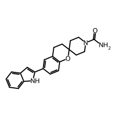 NC(=O)N1CCC2(CCc3cc(-c4cc5ccccc5[nH]4)ccc3O2)CC1